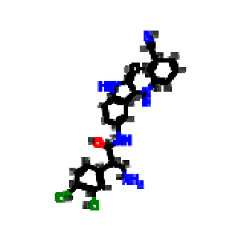 C=C1Nc2ccc(NC(=O)C(CN)c3ccc(Cl)c(Cl)c3)cc2C1Nc1cccc(C#N)c1